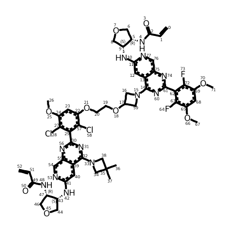 C=CC(=O)N[C@H]1COC[C@H]1Nc1cc2c(N3CC(OCCOc4cc(OC)c(Cl)c(-c5nc(N6CC(C)(C)C6)c6cc(N[C@@H]7COC[C@@H]7NC(=O)C=C)ncc6n5)c4Cl)C3)nc(-c3c(F)c(OC)cc(OC)c3F)nc2cn1